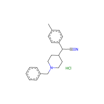 Cc1ccc(C(C#N)C2CCN(Cc3ccccc3)CC2)cc1.Cl